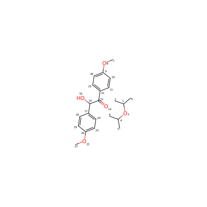 CC(C)OC(C)C.COc1ccc(C(=O)C(O)c2ccc(OC)cc2)cc1